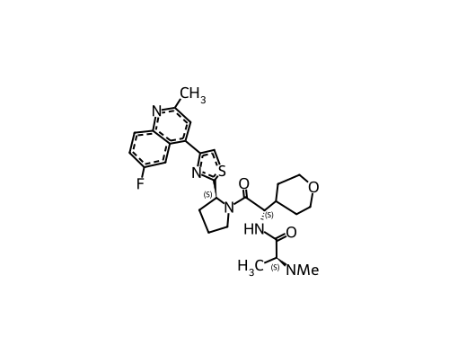 CN[C@@H](C)C(=O)N[C@H](C(=O)N1CCC[C@H]1c1nc(-c2cc(C)nc3ccc(F)cc23)cs1)C1CCOCC1